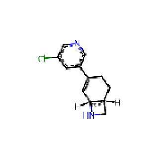 Clc1cncc(C2=C[C@H]3NC[C@H]3CC2)c1